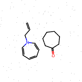 C=CCN1C=CC=CC=C1.O=C1CCCCCC1